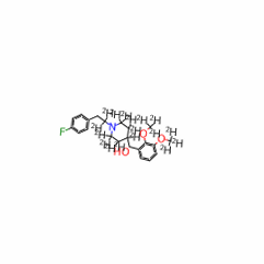 [2H]C([2H])([2H])Oc1cccc(C(O)C2([2H])C([2H])([2H])C([2H])([2H])N(C([2H])([2H])Cc3ccc(F)cc3)C([2H])([2H])C2([2H])[2H])c1OC([2H])([2H])[2H]